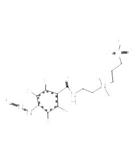 C[N+](C)(CCCS(=O)(=O)[O-])CCNC(=O)c1c(F)c(F)c(N=[N+]=[N-])c(F)c1F